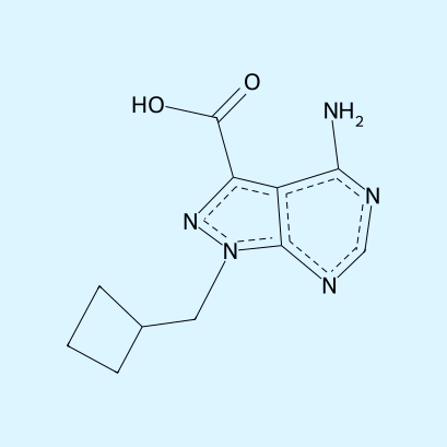 Nc1ncnc2c1c(C(=O)O)nn2CC1CCC1